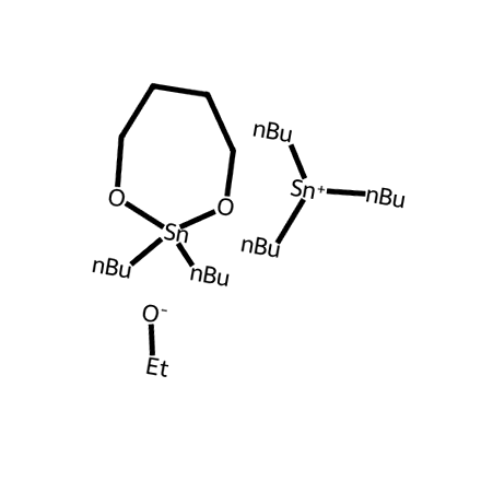 CCC[CH2][Sn+]([CH2]CCC)[CH2]CCC.CCC[CH2][Sn]1([CH2]CCC)[O]CCCC[O]1.CC[O-]